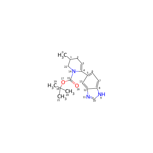 CC1CC=C(c2ccc3[nH]cnc3c2)N(C(=O)OC(C)(C)C)C1